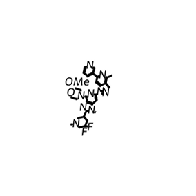 COc1ccncc1-c1cc2c(cnn2-c2cc3c(nc(C4CN(C)CC(F)(F)C4)n3C)c(N3CCOCC3)n2)c(C)n1